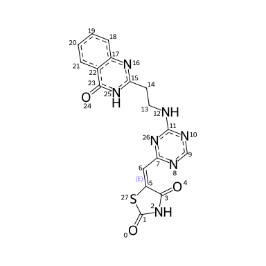 O=C1NC(=O)/C(=C\c2ncnc(NCCc3nc4ccccc4c(=O)[nH]3)n2)S1